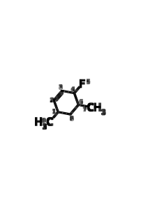 CC1C=CC(F)C(C)C1